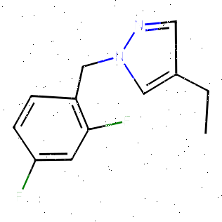 CCc1cnn(Cc2ccc(F)cc2F)c1